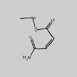 CNOC(=O)/C=C\C(N)=O